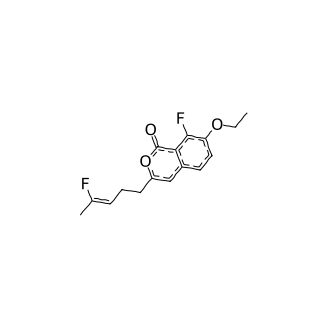 CCOc1ccc2cc(CC/C=C(/C)F)oc(=O)c2c1F